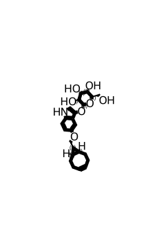 OC[C@H]1O[C@@H](Oc2c[nH]c3ccc(OC[C@@H]4[C@@H]5CCC#CCC[C@@H]54)cc23)[C@H](O)[C@@H](O)[C@@H]1O